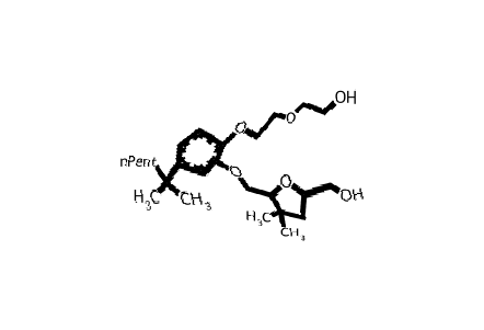 CCCCCC(C)(C)c1ccc(OCCOCCO)c(OCC2OC(CO)CC2(C)C)c1